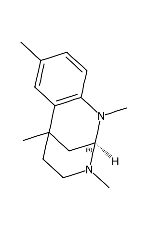 Cc1ccc2c(c1)C1(C)CCN(C)[C@@H](C1)N2C